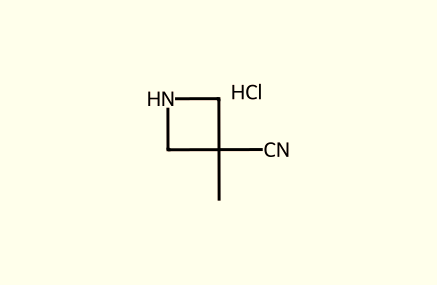 CC1(C#N)CNC1.Cl